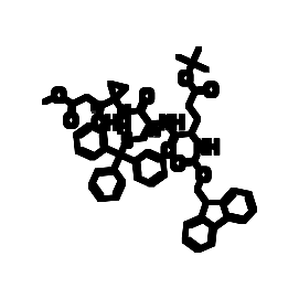 COC(=O)C[C@H](O)C1(NC(=O)[C@H](CSC(c2ccccc2)(c2ccccc2)c2ccccc2)NC(=O)C(CCC(=O)OC(C)(C)C)NC(=O)OCC2c3ccccc3-c3ccccc32)CC1